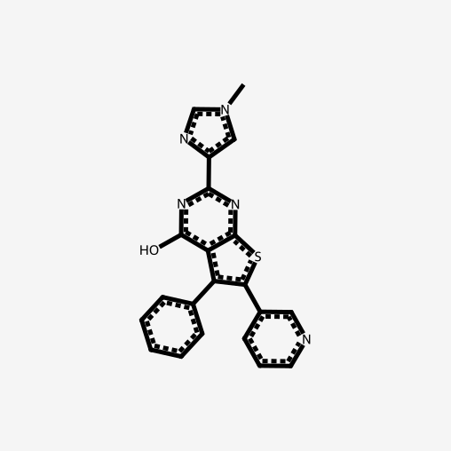 Cn1cnc(-c2nc(O)c3c(-c4ccccc4)c(-c4cccnc4)sc3n2)c1